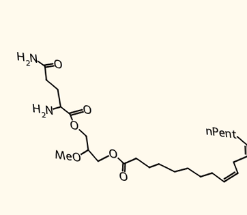 CCCCC/C=C\C/C=C\CCCCCCCC(=O)OCC(COC(=O)C(N)CCC(N)=O)OC